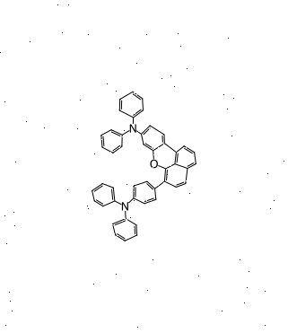 c1ccc(N(c2ccccc2)c2ccc(-c3ccc4cccc5c4c3Oc3cc(N(c4ccccc4)c4ccccc4)ccc3-5)cc2)cc1